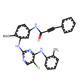 COc1ccc(NC(=O)C#Cc2ccccc2)cc1Nc1ncc(Cl)c(Nc2ccccc2C)n1